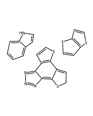 C1=c2c(c3c(c4ccsc24)=NN=N3)SC1.c1cc2sccc2s1.c1ccc2[nH]ccc2c1